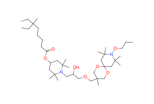 CCCON1C(C)(C)CC2(CC1(C)C)OCC(C)(COCC(O)CN1C(C)(C)CC(OC(=O)CCCCC(C)(CC)CC)CC1(C)C)CO2